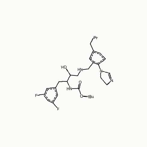 CC(C)Cc1ccc(N2C=NCC2)c(CNCC(O)C(Cc2cc(F)cc(F)c2)NC(=O)OC(C)(C)C)c1